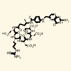 C[C@H](CCC(=O)N[C@@H](CC(=O)O)C(=O)N[C@@H](CCCNC(=N)N)C(=O)N[C@@H](CC(=O)O)C(=O)N[C@@H](CC(=O)O)C(=O)N[C@@H](CS)C(=O)O)NC(=O)c1ccc(NCc2cnc3nc(N)[nH]c(=O)c3n2)cc1